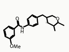 COc1cccc(C(=O)Nc2ccc(CC3[C]C(C)C(C)OC3)cc2)c1